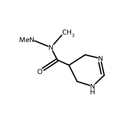 CNN(C)C(=O)C1CN=CNC1